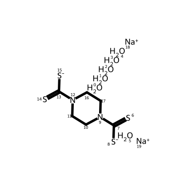 O.O.O.O.O.O.S=C([S-])N1CCN(C(=S)[S-])CC1.[Na+].[Na+]